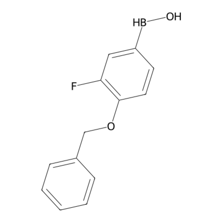 OBc1ccc(OCc2ccccc2)c(F)c1